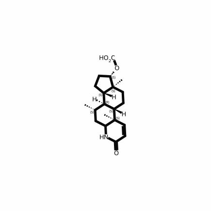 C[C@H]1CC2NC(=O)C=C[C@]2(C)[C@H]2CC[C@]3(C)[C@@H](OC(=O)O)CC[C@H]3[C@H]12